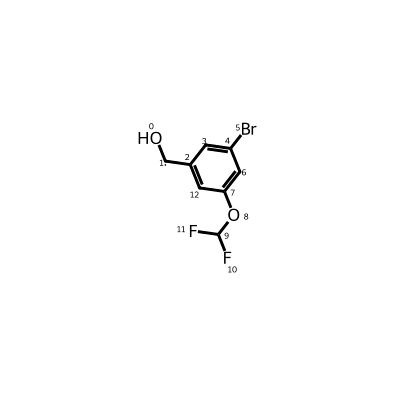 O[CH]c1cc(Br)cc(OC(F)F)c1